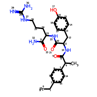 CC(C)Cc1ccc(C(C)C(=O)NC(Cc2ccc(O)cc2)C(=O)NC(CCCNC(=N)N)C(N)=O)cc1